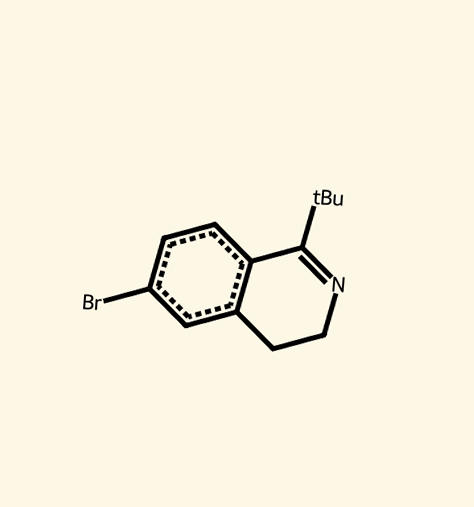 CC(C)(C)C1=NCCc2cc(Br)ccc21